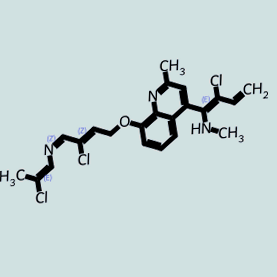 C=C/C(Cl)=C(\NC)c1cc(C)nc2c(OC/C=C(Cl)/C=N\C=C(/C)Cl)cccc12